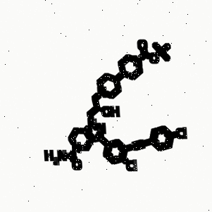 CC(C)(C)OC(=O)N1CCC(C2CCN(C[C@H](O)Cn3nc(-c4ccc(Cl)c(C#Cc5ccc(Cl)cc5)c4)c4c3CCN(C(N)=O)C4)CC2)CC1